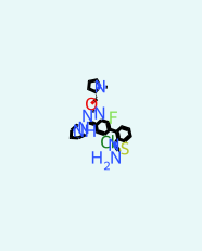 CN1CCC[C@H]1COc1nc(N2CC3CC(C2)N3)c2cc(Cl)c(-c3cccc4sc(N)nc34)c(F)c2n1